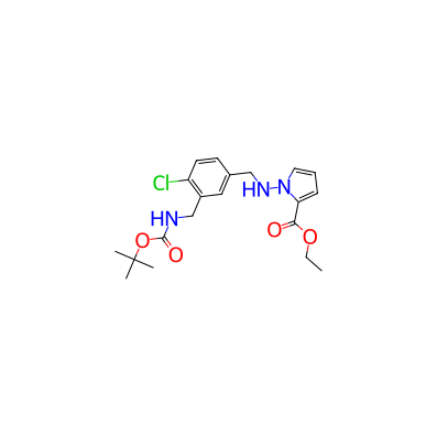 CCOC(=O)c1cccn1NCc1ccc(Cl)c(CNC(=O)OC(C)(C)C)c1